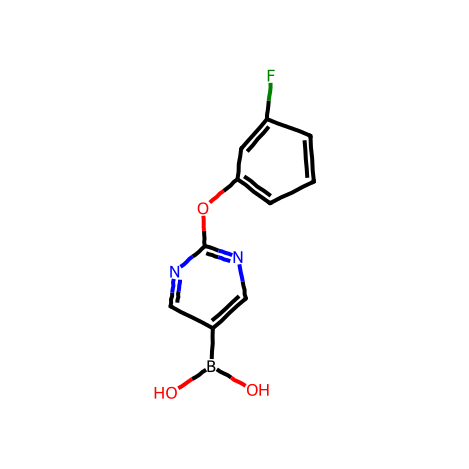 OB(O)c1cnc(Oc2cccc(F)c2)nc1